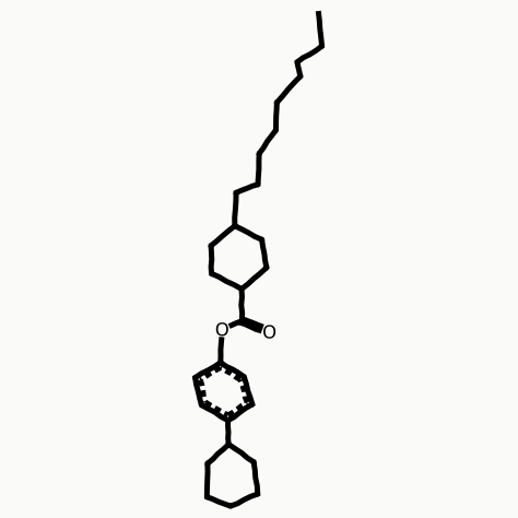 CCCCCCCCCC1CCC(C(=O)Oc2ccc(C3CCCCC3)cc2)CC1